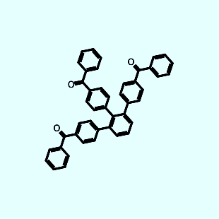 O=C(c1ccccc1)c1ccc(-c2cccc(-c3ccc(C(=O)c4ccccc4)cc3)c2-c2ccc(C(=O)c3ccccc3)cc2)cc1